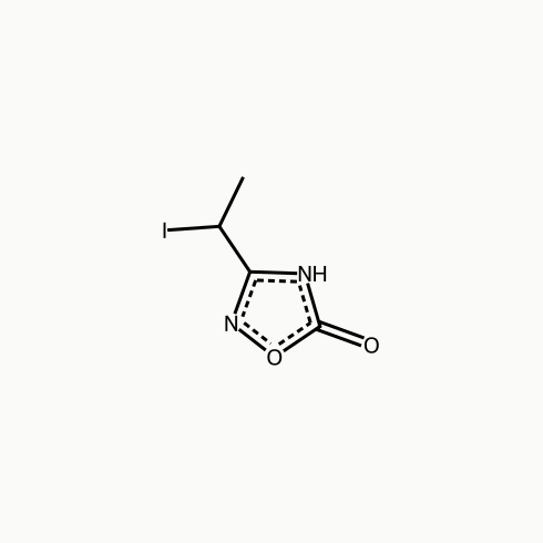 CC(I)c1noc(=O)[nH]1